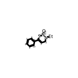 CCN1CC=C(c2ccccc2)S[N+]1=O